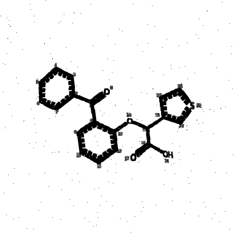 O=C(c1ccccc1)c1ccccc1OC(C(=O)O)c1ccsc1